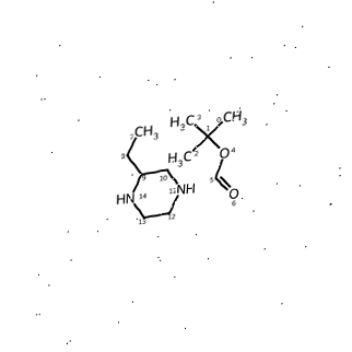 CC(C)(C)OC=O.CCC1CNCCN1